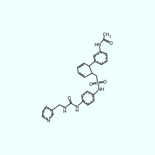 CC(=O)Nc1cccc(C2C=CC=CC2CS(=O)(=O)Nc2ccc(NC(=O)NCc3cccnc3)cc2)c1